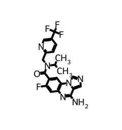 CC(C)N(Cc1ccc(C(F)(F)F)cn1)C(=O)c1cc2c(cc1F)nc(N)c1cncn12